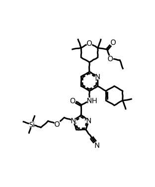 CCOC(=O)C1(C)CC(c2ccc(NC(=O)c3nc(C#N)cn3COCC[Si](C)(C)C)c(C3=CCC(C)(C)CC3)n2)CC(C)(C)O1